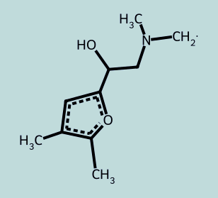 [CH2]N(C)CC(O)c1cc(C)c(C)o1